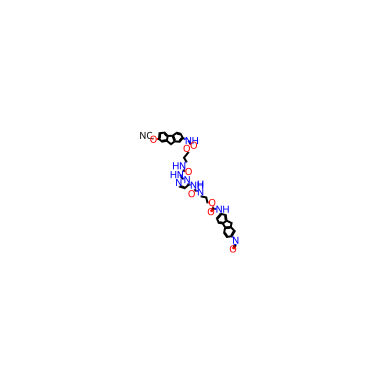 N#COc1ccc2c(c1)Cc1cc(NC(=O)OCCCNC(=O)Nc3nccc(NC(=O)NCCCOC(=O)Nc4ccc5c(c4)Cc4cc(N=C=O)ccc4-5)n3)ccc1-2